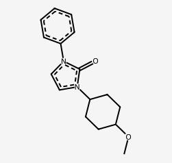 COC1CCC(n2ccn(-c3ccccc3)c2=O)CC1